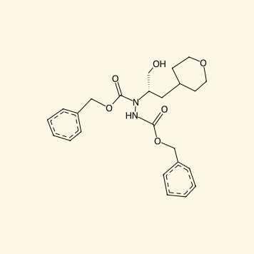 O=C(NN(C(=O)OCc1ccccc1)[C@H](CO)CC1CCOCC1)OCc1ccccc1